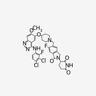 COc1cc2ncnc(Nc3ccc(Cl)c(Cl)c3F)c2cc1OC1CCN(Cc2cc3c(cc2F)C(=O)N(C2CCC(=O)NC2=O)C3)CC1